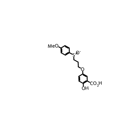 COc1ccc([S+]([O-])CCCOc2ccc(O)c(C(=O)O)c2)cc1